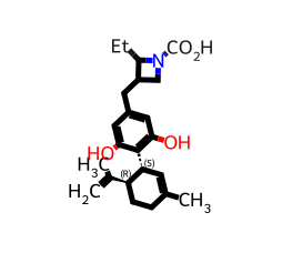 C=C(C)[C@@H]1CCC(C)=C[C@H]1c1c(O)cc(CC2CN(C(=O)O)C2CC)cc1O